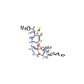 COCC(F)(F)c1ccc(Oc2ncccc2-c2ccc(OC)nc2OC)cn1